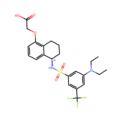 CCN(CC)c1cc(C(F)(F)F)cc(S(=O)(=O)N[C@@H]2CCCc3c(OCC(=O)O)cccc32)c1